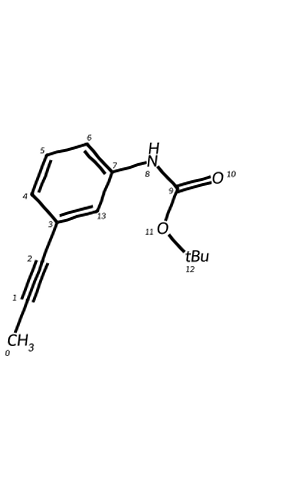 CC#Cc1cccc(NC(=O)OC(C)(C)C)c1